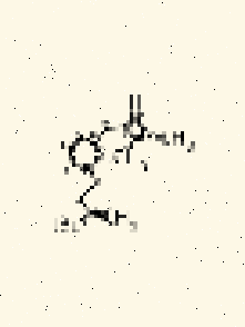 C=C(CCc1cccc(Cc2cn(C)[nH]2)c1C)C(C)(C)C